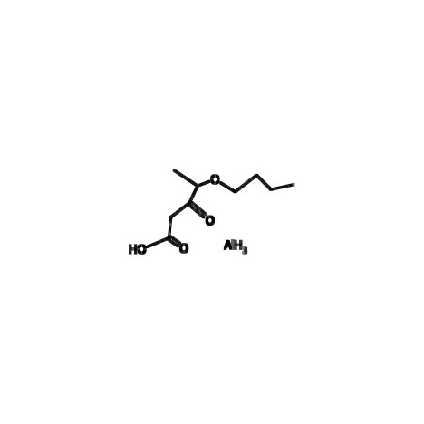 CCCCOC(C)C(=O)CC(=O)O.[AlH3]